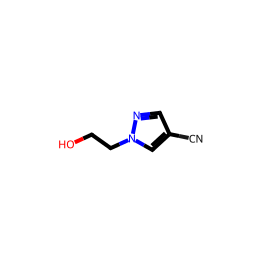 N#Cc1cnn(CCO)c1